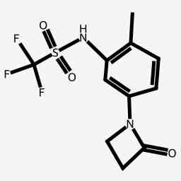 Cc1ccc(N2CCC2=O)cc1NS(=O)(=O)C(F)(F)F